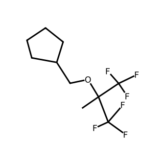 CC(OCC1CCCC1)(C(F)(F)F)C(F)(F)F